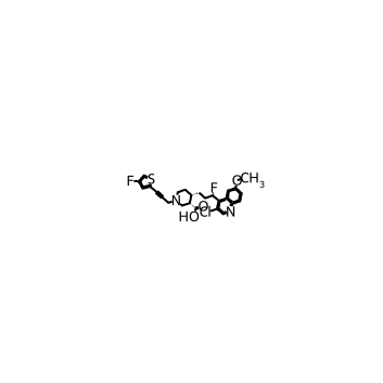 COc1ccc2ncc(Cl)c([C@@H](F)CC[C@H]3CCN(CC#Cc4cc(F)cs4)C[C@H]3C(=O)O)c2c1